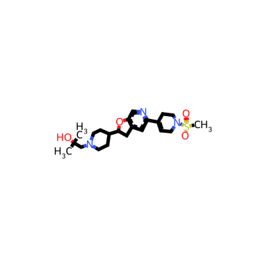 CC(C)(O)CN1CCC(C2Cc3cc(C4=CCN(S(C)(=O)=O)CC4)ncc3O2)CC1